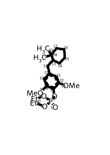 CCOP(=O)(OCC)Oc1c(OC)cc(CC2CCCCC2(C)C)cc1OC